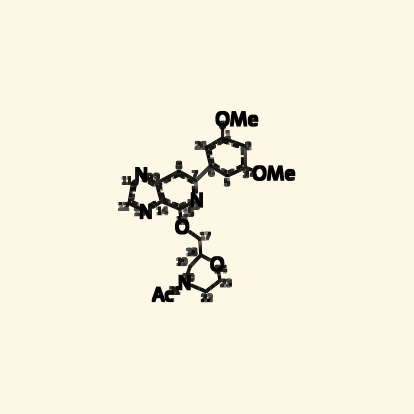 COc1cc(OC)cc(-c2cc3nccnc3c(OCC3CN(C(C)=O)CCO3)n2)c1